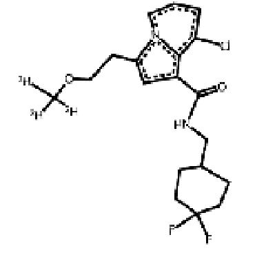 [2H]C([2H])([2H])OCCc1cc(C(=O)NCC2CCC(F)(F)CC2)c2c(Cl)cccn12